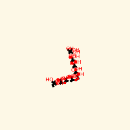 C=C(C)C(=O)O.C=C(C)C(=O)O.C=C(C)C(=O)O.C=C(C)C(=O)O.C=C(C)C(=O)O.C=C(C)C(=O)O.C=C(C)C(=O)O.CCC(CO)(CO)CO.OCC(CO)(CO)CO